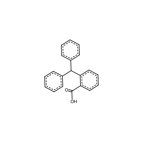 O=C(O)c1ccccc1C(c1ccccc1)c1ccccc1